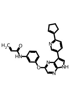 C=CC(=O)Nc1cccc(Oc2cnc3[nH]cc(-c4ccc(C5=CCCC5)nc4)c3n2)c1